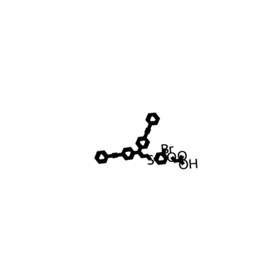 O=C(O)COc1ccc(SCC=C(c2ccc(C#Cc3ccccc3)cc2)c2ccc(C#Cc3ccccc3)cc2)cc1Br